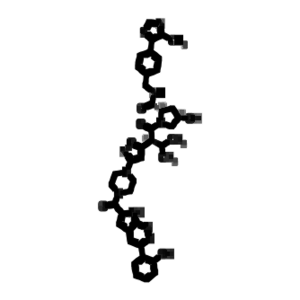 Cc1ncsc1-c1ccc(CNC(=O)[C@@H]2C[C@@H](O)CN2C(=O)[C@H](c2cc(N3CCN(C(=O)c4cc5cc(-c6ccccc6O)nnc5[nH]4)CC3)no2)C(C)C)cc1